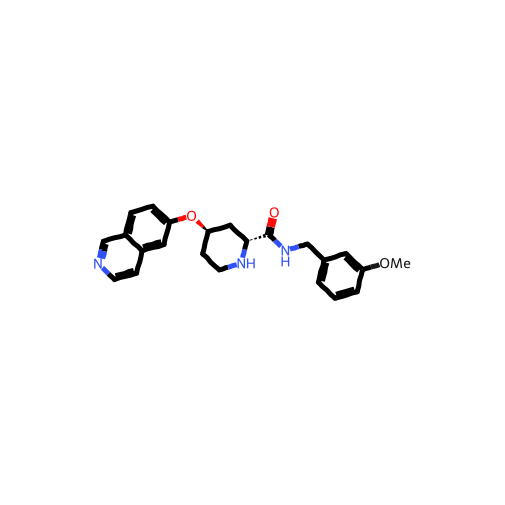 COc1cccc(CNC(=O)[C@H]2C[C@H](Oc3ccc4cnccc4c3)CCN2)c1